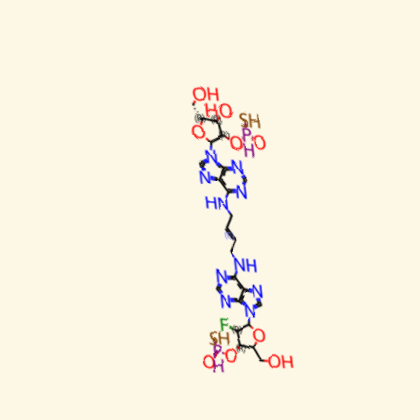 O=[PH](S)O[C@@H]1C(CO)OC(n2cnc3c(NC/C=C/CNc4ncnc5c4ncn5C4O[C@H](CO)[C@@H](O)[C@H]4O[PH](=O)S)ncnc32)[C@@H]1F